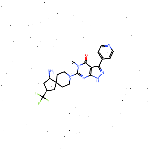 Cn1c(N2CCC3(CC2)C[C@@H](C(F)(F)F)C[C@H]3N)nc2[nH]nc(-c3ccncc3)c2c1=O